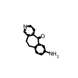 Nc1ccc2c(c1)C(=O)c1ccncc1CC2